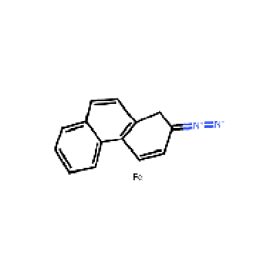 [Fe].[N-]=[N+]=C1C=Cc2c(ccc3ccccc23)C1